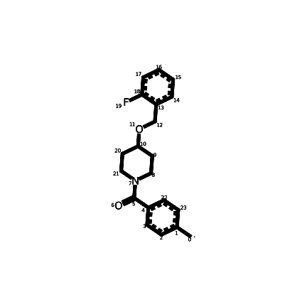 [CH2]c1ccc(C(=O)N2CCC(OCc3ccccc3F)CC2)cc1